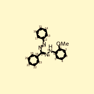 COc1ccccc1NN=C(N=Nc1ccccc1)c1ccccc1